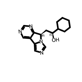 O[C@@H](C[C@@H]1c2ncncc2-c2cncn21)C1CCCCC1